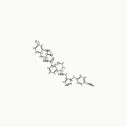 N#Cc1ccc(Cn2cncc2CNC2CCOc3c(C(=O)N[C@@H](Cc4ccc(F)cc4)C(N)=O)cccc32)cc1